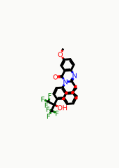 COc1ccc2nc(Cc3ccccc3)n(-c3ccc(C(O)(C(F)(F)F)C(F)(F)F)cc3C(C)C)c(=O)c2c1